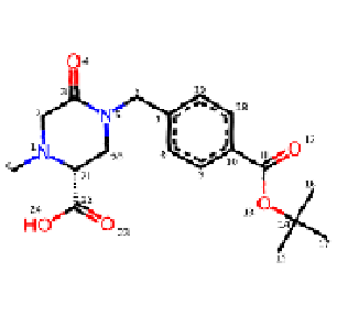 CN1CC(=O)N(Cc2ccc(C(=O)OC(C)(C)C)cc2)C[C@@H]1C(=O)O